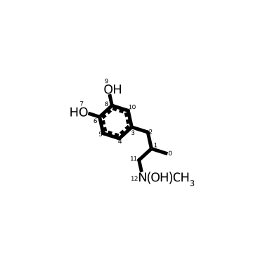 CC(Cc1ccc(O)c(O)c1)CN(C)O